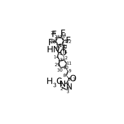 Cn1ccnc1C(=O)C=Cc1ccc(CC(=O)Nc2c(F)c(F)c(F)c(F)c2F)cc1